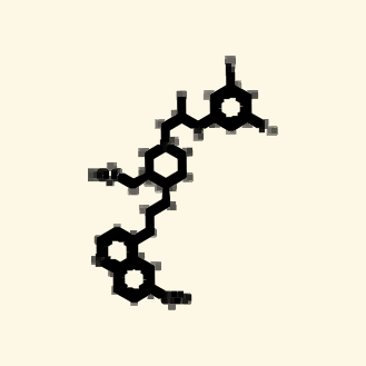 COc1ccc2nccc(CCC[C@@H]3CCN(CC(C)Sc4cc(F)cc(F)c4)C[C@@H]3CC(=O)O)c2c1